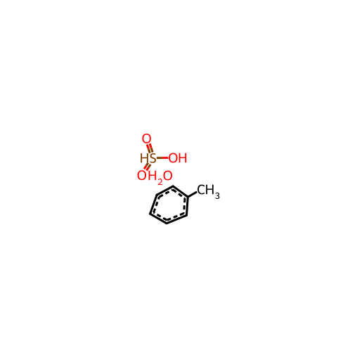 Cc1ccccc1.O.O=[SH](=O)O